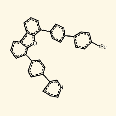 CC(C)(C)c1ccc(-c2ccc(-c3cccc4c3oc3c(-c5ccc(-c6cccnc6)cc5)cccc34)cc2)cc1